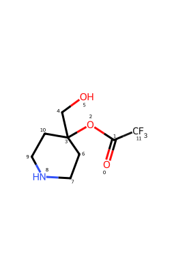 O=C(OC1(CO)CCNCC1)C(F)(F)F